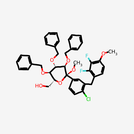 COc1ccc(Cc2cc([C@]3(OC)O[C@H](CO)[C@@H](OCc4ccccc4)[C@H](OCc4ccccc4)[C@H]3OCc3ccccc3)ccc2Cl)c(F)c1F